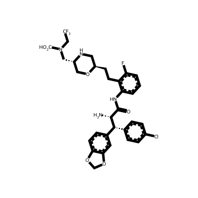 N[C@H](C(=O)Nc1cccc(F)c1CC[C@@H]1CN[C@@H](CN(CC(F)(F)F)C(=O)O)CO1)[C@H](c1ccc(Cl)cc1)c1ccc2c(c1)OCO2